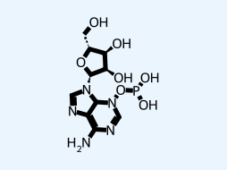 NC1=C2N=CN([C@@H]3O[C@H](CO)[C@@H](O)[C@H]3O)C2N(OP(O)O)C=N1